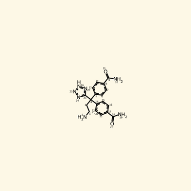 C[C@H](N)CC(c1ccc(C(N)=O)cc1)(c1ccc(C(N)=O)cc1)c1nn[nH]n1